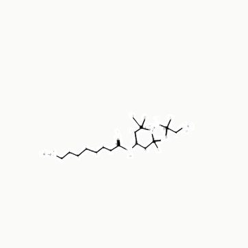 CCCCCCCCCCCCCCCCCC(=O)OC1CC(C)(C)N(OC(C)(C)CO)C(C)(C)C1